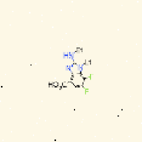 CCNc1nc2c(C(=O)O)cc(F)c(F)c2n1CC